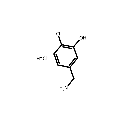 NCc1ccc(Cl)c(O)c1.[Cl-].[H+]